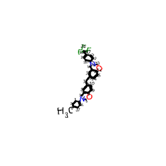 Cc1ccc(N2COc3ccc(Cc4ccc5c(c4)CN(c4ccc(C(F)(F)F)cc4)CO5)cc3C2)cc1